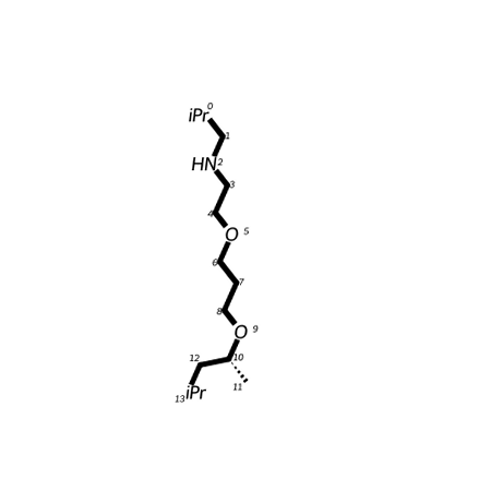 CC(C)CNCCOCCCO[C@H](C)CC(C)C